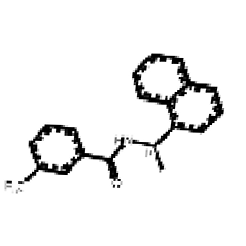 C[C@@H](NC(=O)c1cccc(C(F)(F)F)c1)c1cccc2ccccc12